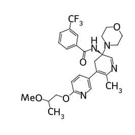 COC(C)COc1ccc(C2=C(C)N=C[C@@](NC(=O)c3cccc(C(F)(F)F)c3)(N3CCOCC3)C2)cn1